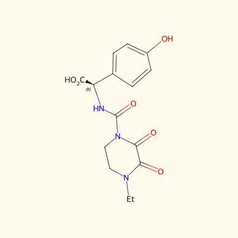 CCN1CCN(C(=O)N[C@@H](C(=O)O)c2ccc(O)cc2)C(=O)C1=O